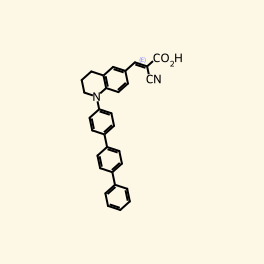 N#C/C(=C\c1ccc2c(c1)CCCN2c1ccc(-c2ccc(-c3ccccc3)cc2)cc1)C(=O)O